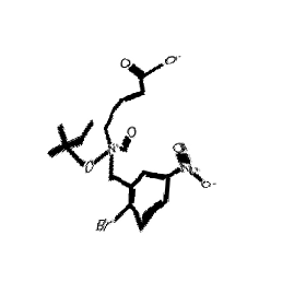 CC(C)(C)O[N+](C=O)(CC/C=C/C(=O)[O-])Cc1cc([N+](=O)[O-])ccc1Br